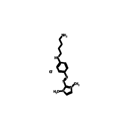 Cn1cc[n+](C)c1/N=N/c1ccc(NCCCCN)cc1.[Cl-]